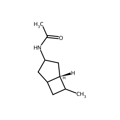 CC(=O)NC1CC2CC(C)[C@H]2C1